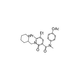 CCCc1c(CC)cc(C(=O)N(C)c2ccc(OC(C)=O)cc2)c(=O)n1CC1CCCCC1